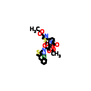 CC(=O)O[C@@H](C(=O)NCc1cc(Cc2ccccc2Cl)cs1)[C@@H](OC(C)=O)C(=O)N1CCC[C@@H]1c1nc(C2OC(C)O2)cs1